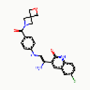 N/C(=C\Nc1ccc(C(=O)N2CC3(COC3)C2)cc1)c1cc2cc(Cl)ccc2[nH]c1=O